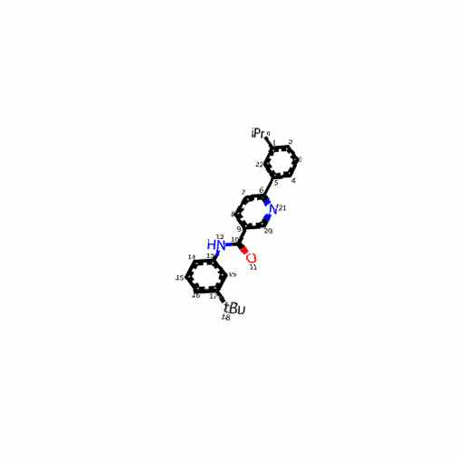 CC(C)c1cccc(-c2ccc(C(=O)Nc3cccc(C(C)(C)C)c3)cn2)c1